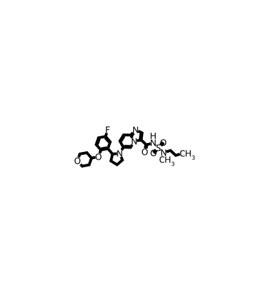 CCCN(C)S(=O)(=O)NC(=O)c1cnc2ccc(N3CCCC3c3cc(F)ccc3OC3CCOCC3)cn12